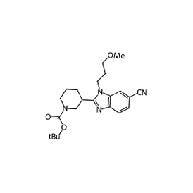 COCCCn1c(C2CCCN(C(=O)OC(C)(C)C)C2)nc2ccc(C#N)cc21